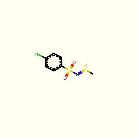 C[SH]=NS(=O)(=O)c1ccc(Cl)cc1